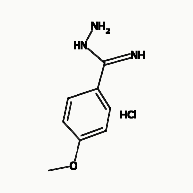 COc1ccc(C(=N)NN)cc1.Cl